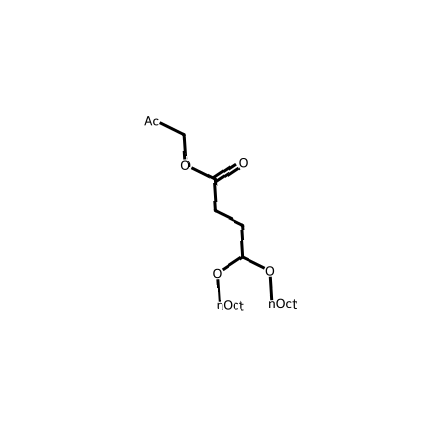 [CH2]C(=O)COC(=O)CCC(OCCCCCCCC)OCCCCCCCC